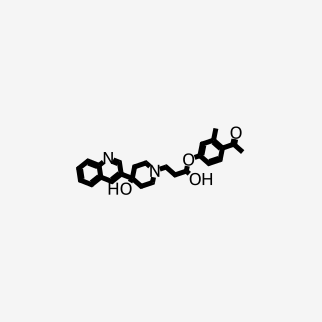 CC(=O)c1ccc(OC(O)CCN2CCC(O)(c3cnc4ccccc4c3)CC2)cc1C